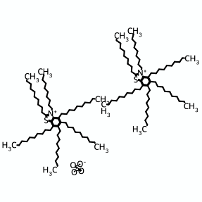 CCCCCCCCCCc1c(CCCCCCCCCC)c(CCCCCCCCCC)c2c(sc(CCCCCCCCCC)[n+]2CCCCCCCCCC)c1CCCCCCCCCC.CCCCCCCCCCc1c(CCCCCCCCCC)c(CCCCCCCCCC)c2c(sc(CCCCCCCCCC)[n+]2CCCCCCCCCC)c1CCCCCCCCCC.O=S(=O)([O-])[O-]